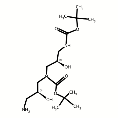 CC(C)(C)OC(=O)NC[C@@H](O)CN(C[C@@H](O)CN)C(=O)OC(C)(C)C